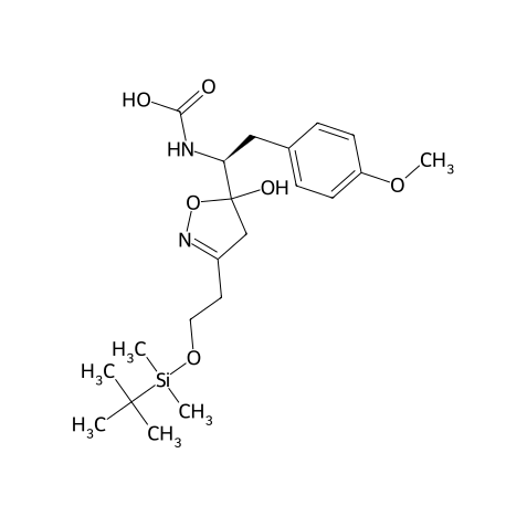 COc1ccc(C[C@H](NC(=O)O)C2(O)CC(CCO[Si](C)(C)C(C)(C)C)=NO2)cc1